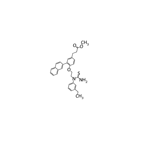 CCc1cccc(N(CCOc2ccc(CCC(=O)OC)cc2-c2ccc3ccccc3c2)C(N)=S)c1